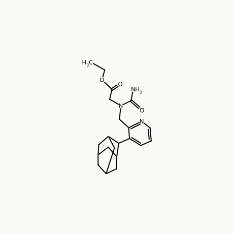 CCOC(=O)CN(Cc1ncccc1C1C2CC3CC(C2)CC1C3)C(N)=O